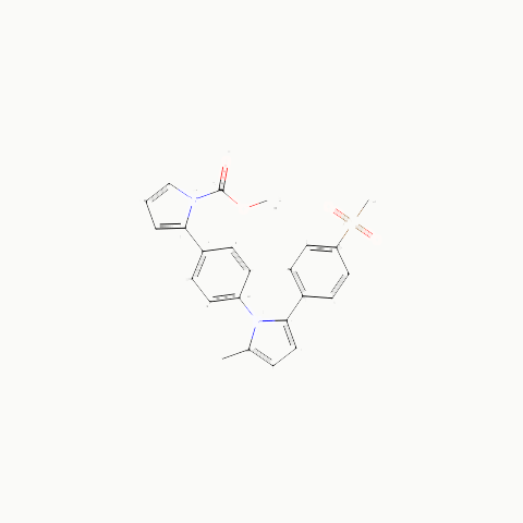 Cc1ccc(-c2ccc(S(C)(=O)=O)cc2)n1-c1ccc(-c2cccn2C(=O)OC(C)(C)C)cc1